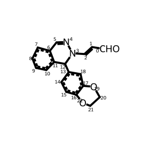 O=CC=CN1N=Cc2ccccc2C1c1ccc2c(c1)OCCO2